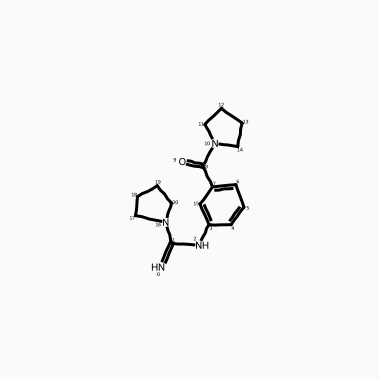 N=C(Nc1cccc(C(=O)N2CCCC2)c1)N1CCCC1